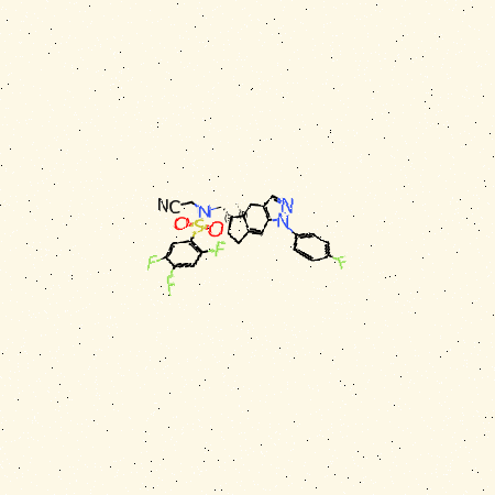 C[C@]12Cc3cnn(-c4ccc(F)cc4)c3C=C1CC[C@@H]2CN(CC#N)S(=O)(=O)c1cc(F)c(F)cc1F